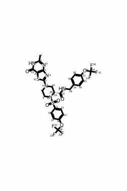 Cc1nc2nc(N3CCN(S(=O)(=O)c4ccc(OC(F)(F)F)cc4)[C@@H](C(=O)NCc4ccc(OC(F)(F)F)cc4)C3)sc2c(=O)[nH]1